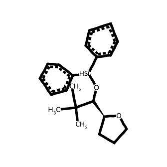 CC(C)(C)C(O[SiH](c1ccccc1)c1ccccc1)[C@@H]1CCCO1